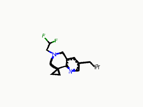 CC(C)Cc1cnc2c(c1)CN(CC(F)F)CC21CC1